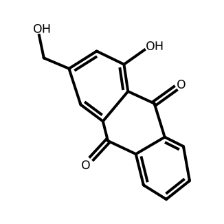 O=C1c2ccccc2C(=O)c2c(O)cc(CO)cc21